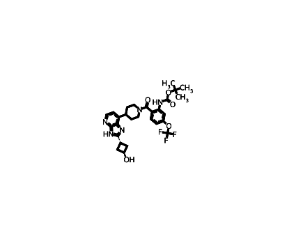 CC(C)(C)OC(=O)Nc1cc(OC(F)(F)F)ccc1C(=O)N1CCC(c2ccnc3[nH]c([C@H]4C[C@H](O)C4)nc23)CC1